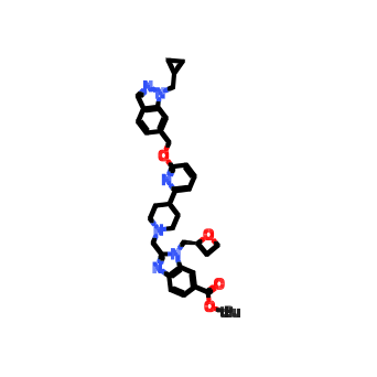 CC(C)(C)OC(=O)c1ccc2nc(CN3CCC(c4cccc(OCc5ccc6cnn(CC7CC7)c6c5)n4)CC3)n(C[C@@H]3CCO3)c2c1